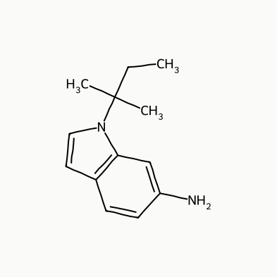 CCC(C)(C)n1ccc2ccc(N)cc21